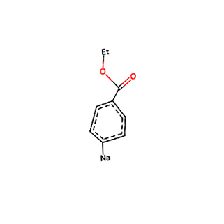 CCOC(=O)c1cc[c]([Na])cc1